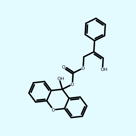 O=C(OCC(=CO)c1ccccc1)OC1(O)c2ccccc2Oc2ccccc21